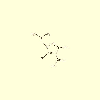 Cc1nn(CC(C)C)c(Cl)c1C(=O)O